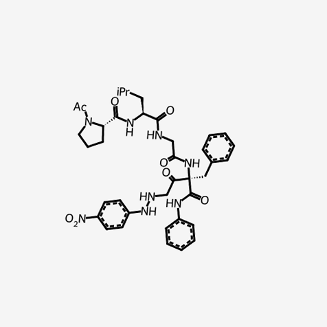 CC(=O)N1CCC[C@H]1C(=O)N[C@@H](CC(C)C)C(=O)NCC(=O)N[C@](Cc1ccccc1)(C(=O)CNNc1ccc([N+](=O)[O-])cc1)C(=O)Nc1ccccc1